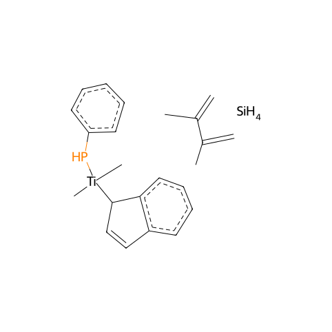 C=C(C)C(=C)C.[CH3][Ti]([CH3])([PH]c1ccccc1)[CH]1C=Cc2ccccc21.[SiH4]